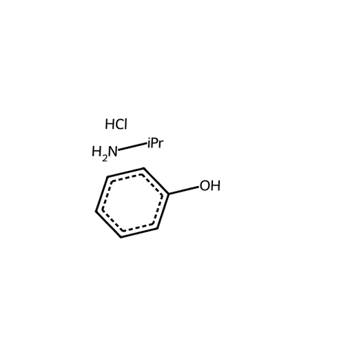 CC(C)N.Cl.Oc1ccccc1